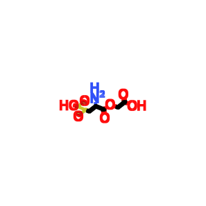 N[C@H](CS(=O)(=O)O)C(=O)OCC(=O)O